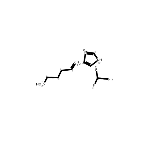 C=CCCCS(=O)(=O)O.FC(F)F.c1c[nH]cn1